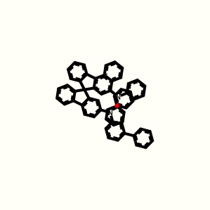 c1ccc(-c2cccc(N(c3ccccc3)c3ccc4c(c3)C3(c5ccccc5-4)c4ccccc4-c4c3cc(N(c3ccccc3)c3ccccc3)c3ccccc43)c2)cc1